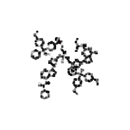 [C-]#[N+]CCOP(=O)(OC[C@H]1O[C@@H](n2cnc3c(=O)[nH]c(NC(=O)C(C)C)nc32)[C@H](OC(c2ccccc2)(c2ccc(OC)cc2)c2ccc(OC)cc2)[C@@H]1OC)O[C@H]1C[C@H](c2scc3c(NC(=O)c4ccccc4)ncnc23)O[C@@H]1COC(c1ccccc1)(c1ccc(OC)cc1)c1ccc(OC)cc1